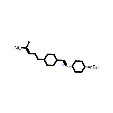 CCCC[C@H]1CC[C@H](/C=C/C2CCC(CCC=C(F)C#N)CC2)CC1